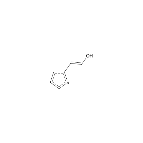 O/C=C/c1cccs1